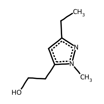 CCc1cc(CCO)n(C)n1